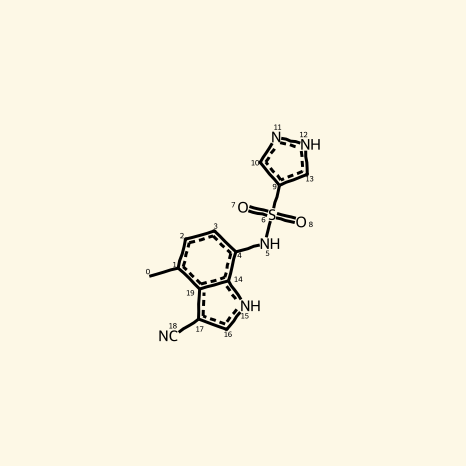 Cc1ccc(NS(=O)(=O)c2cn[nH]c2)c2[nH]cc(C#N)c12